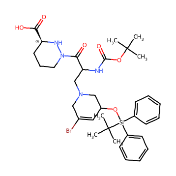 CC(C)(C)OC(=O)NC(CN1CC(Br)=CC(O[Si](c2ccccc2)(c2ccccc2)C(C)(C)C)C1)C(=O)N1CCC[C@@H](C(=O)O)N1